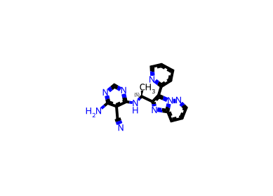 C[C@H](Nc1ncnc(N)c1C#N)c1nc2cccnn2c1-c1ccccn1